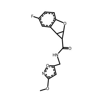 COc1cc(CNC(=O)C2C3Oc4ccc(F)cc4C32)on1